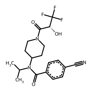 CC(C)N(C(=O)c1ccc(C#N)cc1)C1CCN(C(=O)[C@@H](O)C(F)(F)F)CC1